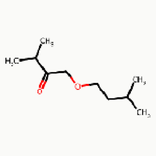 CC(C)CCOCC(=O)C(C)C